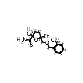 CCC1(COCc2ccccc2Cl)CCC(C)(C(N)=S)O1